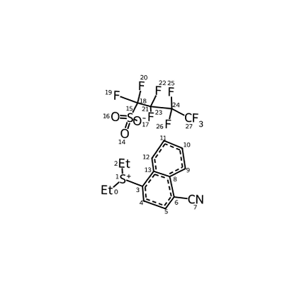 CC[S+](CC)c1ccc(C#N)c2ccccc12.O=S(=O)([O-])C(F)(F)C(F)(F)C(F)(F)C(F)(F)F